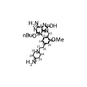 CCCCOc1nc(N)c2nc(O)n(Cc3ccc(CCN4CCC(N)CC4)cc3OC)c2n1